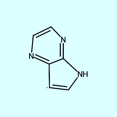 [c]1c[nH]c2nccnc12